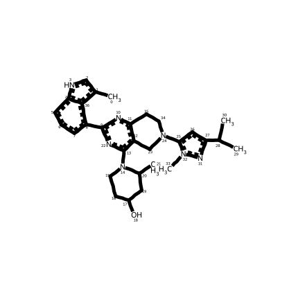 Cc1c[nH]c2cccc(-c3nc4c(c(N5CCC(O)CC5C)n3)CN(c3cc(C(C)C)nn3C)CC4)c12